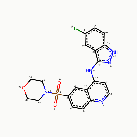 O=S(=O)(c1ccc2nccc(Nc3n[nH]c4ccc(F)cc34)c2c1)N1CCOCC1